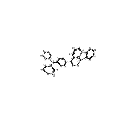 C1=C(c2ccc(N(c3cccnc3)c3cccnc3)cc2)c2cccc3c2C(C1)c1ccccc1-3